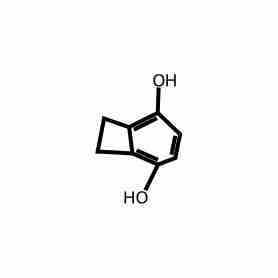 Oc1ccc(O)c2c1CC2